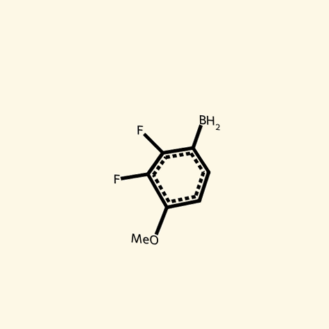 Bc1ccc(OC)c(F)c1F